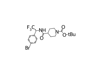 CC(C)(C)OC(=O)N1CCC(C(=O)N[C@@H](c2ccc(Br)cc2)C(F)(F)F)CC1